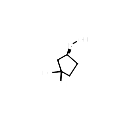 CC1(C)CCC(=NO)C1